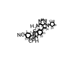 N#Cc1ccc(S(=O)(=O)Nc2ccc(-c3cn(C4CCCC4)c4ncnc(N)c34)cc2F)c(Cl)c1